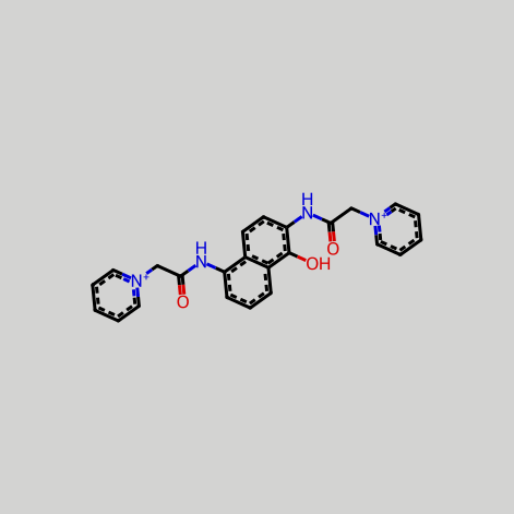 O=C(C[n+]1ccccc1)Nc1ccc2c(NC(=O)C[n+]3ccccc3)cccc2c1O